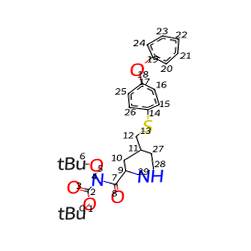 CC(C)(C)OC(=O)N(OC(C)(C)C)C(=O)C1CC(CSc2ccc(Oc3ccccc3)cc2)CCN1